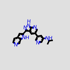 CC(C)Nc1cncc(-c2cnc3[nH]nc(-c4cc5ccncc5[nH]4)c3c2)c1